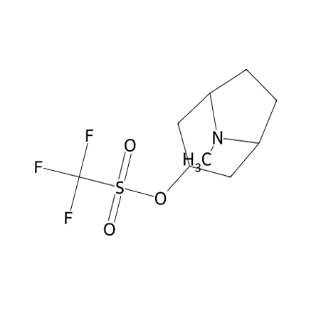 CN1C2CCC1CC(OS(=O)(=O)C(F)(F)F)C2